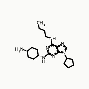 CCCCNc1nc(N[C@H]2CC[C@H](N)CC2)nc2c1ncn2C1CCCC1